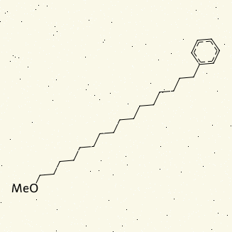 [CH2]OCCCCCCCCCCCCCCCCc1ccccc1